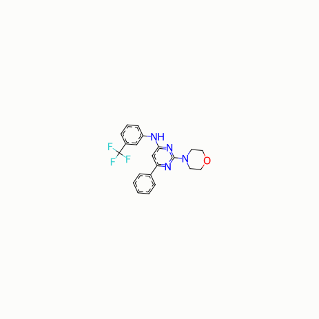 FC(F)(F)c1cccc(Nc2cc(-c3ccccc3)nc(N3CCOCC3)n2)c1